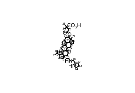 C=C(C)C1CC[C@]2(CCNCC3CCCN3)CC[C@]3(C)[C@H](CC[C@@H]4[C@@]5(C)CC[C@H](OC(=O)CC(C)(C)C(=O)O)C(C)(C)[C@@H]5CC[C@]43C)[C@@H]12